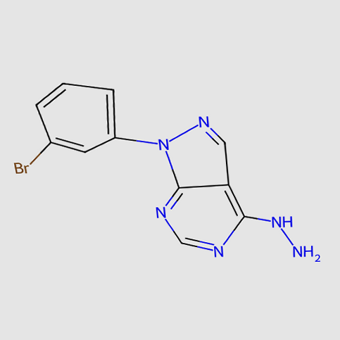 NNc1ncnc2c1cnn2-c1cccc(Br)c1